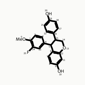 COc1ccc(C2c3ccc(O)cc3OCC2c2ccc(O)cc2)cc1F